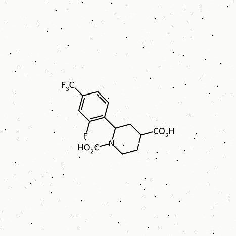 O=C(O)C1CCN(C(=O)O)C(c2ccc(C(F)(F)F)cc2F)C1